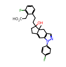 CC12Cc3cnn(-c4ccc(F)cc4)c3C=C1CCC2(O)CCc1cccc(F)c1CC(=O)O